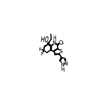 CCC1(O)CC(F)(F)Cc2c1[nH]c(=O)c1sc(-c3cn[nH]c3)cc21